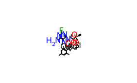 C#C[C@]1(CO[Si](C)(C)C(C)(C)C)OCC(n2cnc3c(N)nc(F)nc32)[C@@H]1OC(=O)CC(C)(C)c1c(C)cc(C)cc1OC(C)=O